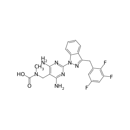 CN(Cc1c(N)nc(-n2nc(Cc3cc(F)cc(F)c3F)c3ccccc32)nc1N)C(=O)O